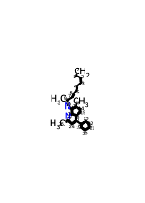 C=C\C=C/C=C/C=C/C(C)=N\c1c(C)ccc2c(-c3ccccc3)cc(C)nc12